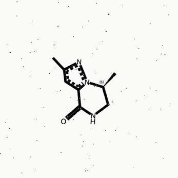 Cc1cc2n(n1)[C@@H](C)CNC2=O